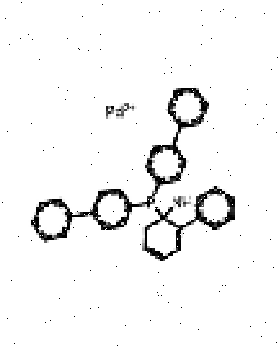 NC1(P(c2ccc(-c3ccccc3)cc2)c2ccc(-c3ccccc3)cc2)CC=CC=C1c1ccccc1.[Pd+2]